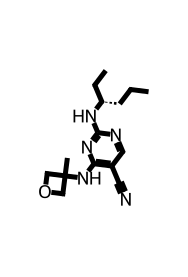 CCC[C@@H](CC)Nc1ncc(C#N)c(NC2(C)COC2)n1